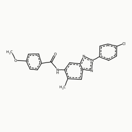 COc1ccc(C(=O)Nc2cc3nn(-c4ccc(Cl)cc4)nc3cc2C)cc1